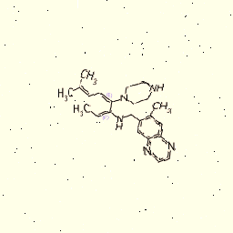 C/C=C(NCc1cc2nccnc2cc1C)\C(=C/C=C(C)C)N1CCNCC1